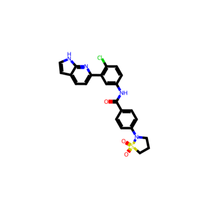 O=C(Nc1ccc(Cl)c(-c2ccc3cc[nH]c3n2)c1)c1ccc(N2CCCS2(=O)=O)cc1